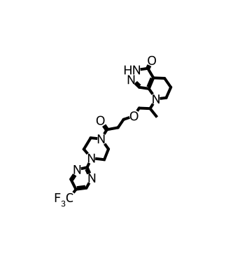 CC(COCCC(=O)N1CCN(c2ncc(C(F)(F)F)cn2)CC1)N1CCCc2c1cn[nH]c2=O